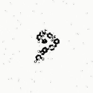 O=C1CCC(N2Cc3cc(N4CCN(Cc5cccc(S(=O)(=O)N6CCC(Nc7ncc8ccc(=O)n(C9%10CCC(C9)C%10)c8n7)CC6)c5)CC4)ccc3C2=O)C(=O)N1